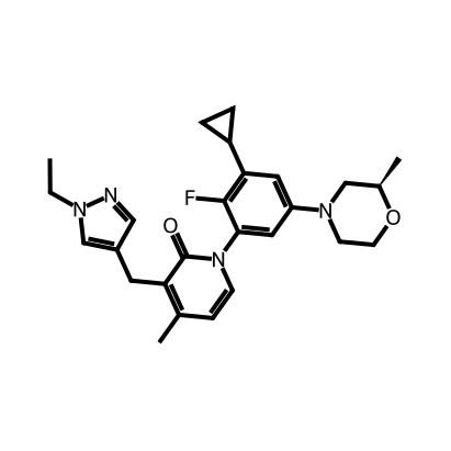 CCn1cc(Cc2c(C)ccn(-c3cc(N4CCO[C@H](C)C4)cc(C4CC4)c3F)c2=O)cn1